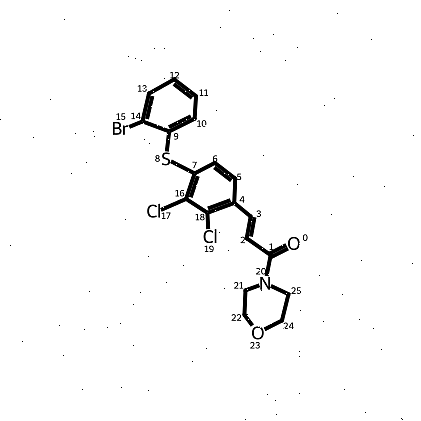 O=C(C=Cc1ccc(Sc2ccccc2Br)c(Cl)c1Cl)N1CCOCC1